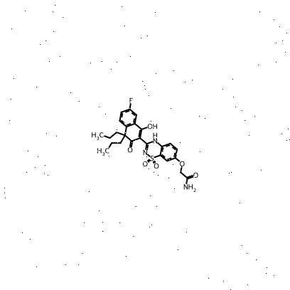 CCCC1(CCC)C(=O)C(C2=NS(=O)(=O)c3cc(OCC(N)=O)ccc3N2)=C(O)c2cc(F)ccc21